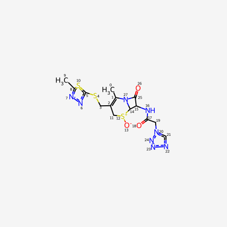 CC1=C(CSc2nnc(C)s2)C[S+]([O-])C2C(NC(=O)Cn3cnnn3)C(=O)N12